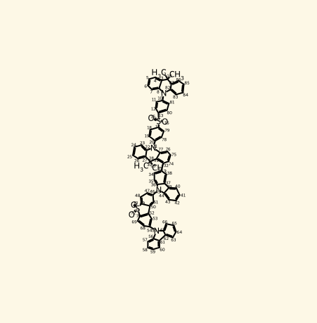 CC1(C)c2ccccc2N(c2ccc(S(=O)(=O)c3ccc(N4c5ccccc5C(C)(C)c5c(-c6ccc7c(c6)c6ccccc6n7-c6ccc7c(c6)-c6cc(-n8c9ccccc9c9ccccc98)ccc6S7(=O)=O)cccc54)cc3)cc2)c2ccccc21